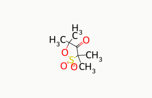 CC1(C)OS(=O)(=O)C(C)(C)C1=O